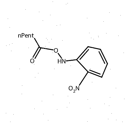 CCCCCC(=O)ONc1ccccc1[N+](=O)[O-]